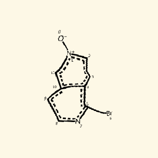 [O-][n+]1ccc2c(Br)nccc2c1